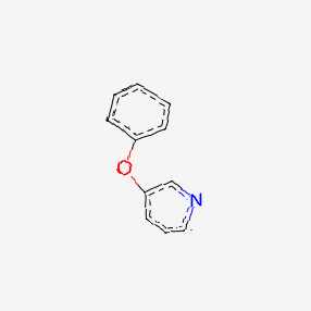 [c]1ccc(Oc2ccccc2)cn1